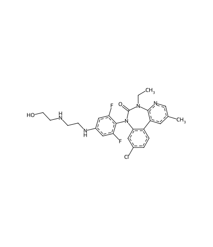 CCN1C(=O)N(c2c(F)cc(NCCNCCO)cc2F)c2cc(Cl)ccc2-c2cc(C)cnc21